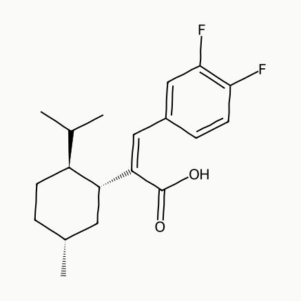 CC(C)[C@@H]1CC[C@@H](C)C[C@H]1C(=Cc1ccc(F)c(F)c1)C(=O)O